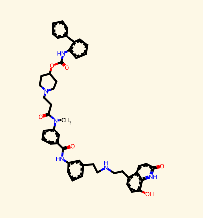 CN(C(=O)CCN1CCC(OC(=O)Nc2ccccc2-c2ccccc2)CC1)c1cccc(C(=O)Nc2cccc(CCNCCc3ccc(O)c4[nH]c(=O)ccc34)c2)c1